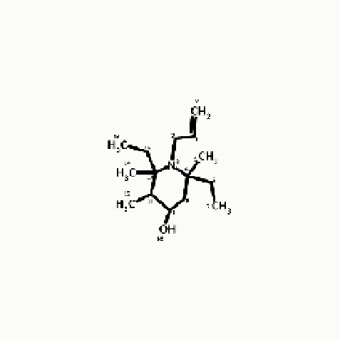 C=CCN1C(C)(CC)CC(O)C(C)C1(C)CC